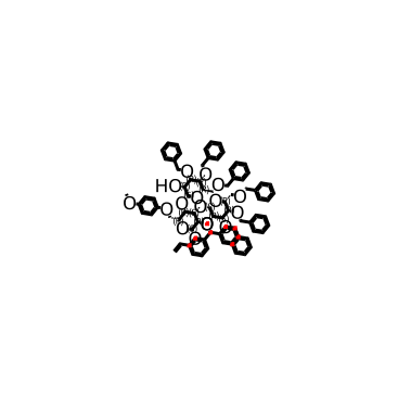 C=CCO[C@H]1O[C@H](COc2ccc(OC)cc2)[C@@H](O[C@@H]2O[C@H](COCc3ccccc3)[C@@H](OCc3ccccc3)[C@H](OCc3ccccc3)[C@H]2O)[C@H](O[C@@H]2O[C@H](COCc3ccccc3)[C@@H](OCc3ccccc3)[C@H](OCc3ccccc3)[C@H]2OCc2ccccc2)[C@H]1OCc1ccccc1